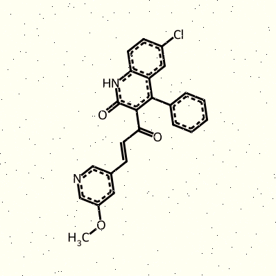 COc1cncc(/C=C/C(=O)c2c(-c3ccccc3)c3cc(Cl)ccc3[nH]c2=O)c1